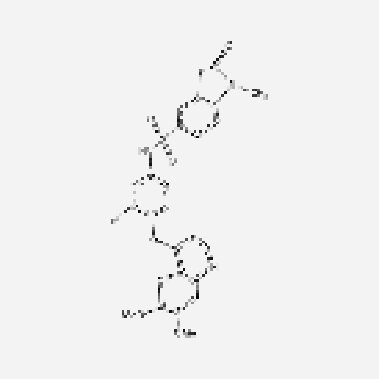 COc1cc2nccc(Oc3ccc(NS(=O)(=O)c4ccc5c(c4)CC(=O)N5C)cc3F)c2cc1OC